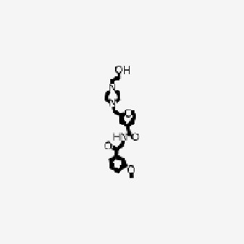 COc1cccc(C(=O)CNC(=O)c2cccc(CN3CCN(CCO)CC3)c2)c1